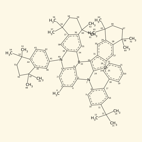 Cc1cc2c3c(c1)N(c1ccc(C(C)(C)C)cc1-c1ccccc1)c1oc4cc5c(cc4c1B3c1cc3c(cc1N2c1ccc2c(c1)C(C)(C)CCC2(C)C)C(C)(C)CCC3(C)C)C(C)(C)CCC5(C)C